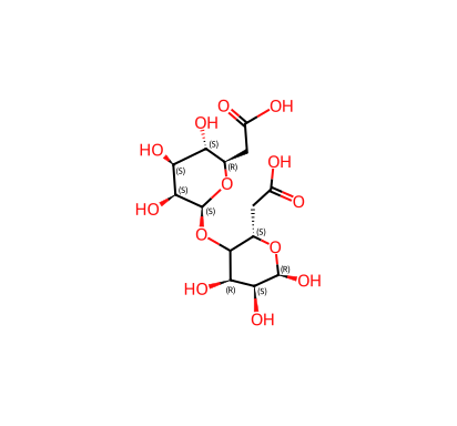 O=C(O)C[C@@H]1O[C@@H](O)[C@@H](O)[C@@H](O)C1O[C@@H]1O[C@H](CC(=O)O)[C@@H](O)[C@H](O)[C@@H]1O